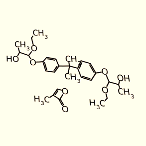 CC1=COC1=O.CCOC(Oc1ccc(C(C)(C)c2ccc(OC(OCC)C(C)O)cc2)cc1)C(C)O